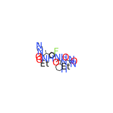 CCC(=O)N[C@@H](C(=O)N1CCN(C)CC1)[C@@H](C)c1ccc(NC(=O)[C@](C)(NC(=O)c2nonc2CC)C2CCCCCC2)c(F)c1